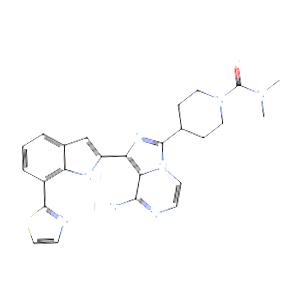 CN(C)C(=O)N1CCC(c2nc(-c3cc4cccc(-c5nccs5)c4[nH]3)c3c(N)nccn23)CC1